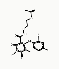 C=C(C)OCCONC(=O)c1c(Nc2ccc(I)cc2F)n(C)c(=O)n(CC)c1=O